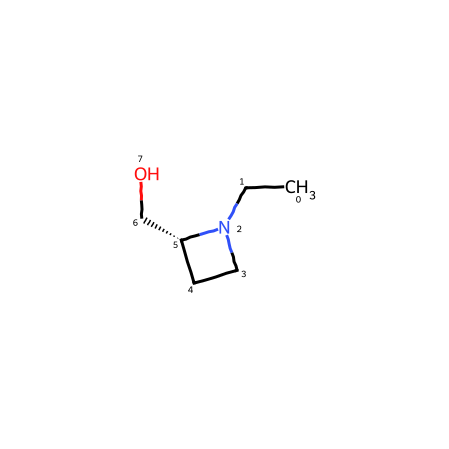 CCN1CC[C@@H]1CO